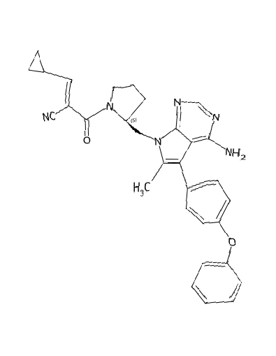 Cc1c(-c2ccc(Oc3ccccc3)cc2)c2c(N)ncnc2n1C[C@@H]1CCCN1C(=O)C(C#N)=CC1CC1